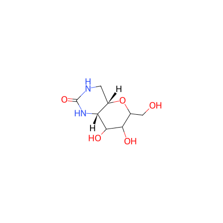 O=C1NC[C@@H]2OC(CO)C(O)C(O)[C@@H]2N1